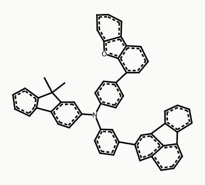 CC1(C)c2ccccc2-c2ccc(N(c3ccc(-c4cccc5c4oc4ccccc45)cc3)c3cccc(-c4cc5c6c(cccc6c4)-c4ccccc4-5)c3)cc21